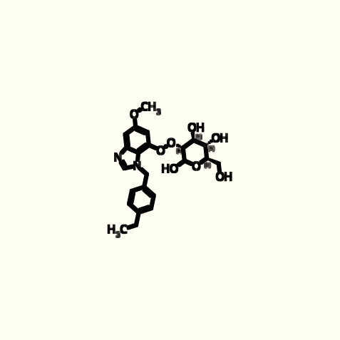 CCc1ccc(Cn2cnc3cc(OC)cc(OO[C@H]4C(O)O[C@H](CO)[C@@H](O)[C@@H]4O)c32)cc1